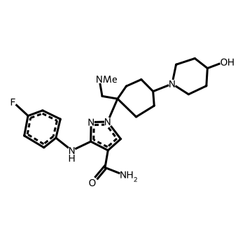 CNCC1(n2cc(C(N)=O)c(Nc3ccc(F)cc3)n2)CCC(N2CCC(O)CC2)CC1